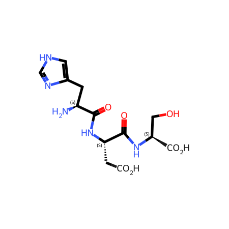 N[C@@H](Cc1c[nH]cn1)C(=O)N[C@@H](CC(=O)O)C(=O)N[C@@H](CO)C(=O)O